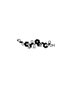 COCCOc1ccn2c(C(=O)Nc3cccc4c3cnn4CC3CCCN(C(=O)O)C3)cnc2c1